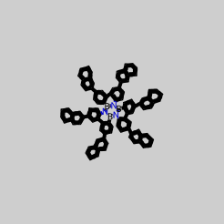 c1ccc2cc(-c3ccc4c(c3)-c3cc(-c5ccc6ccccc6c5)ccc3N3B4N4B(c5ccc(-c6ccc7ccccc7c6)cc5-c5cc(-c6ccc7ccccc7c6)ccc54)N4B3c3ccc(-c5ccc6ccccc6c5)cc3-c3cc(-c5ccc6ccccc6c5)ccc34)ccc2c1